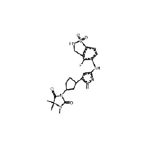 CN1C(=O)N(C2CCC(c3cc(Nc4ccc5c(c4F)CNS5(=O)=O)n[nH]3)C2)C(=O)C1(C)C